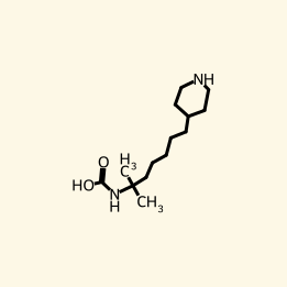 CC(C)(CCCCCC1CCNCC1)NC(=O)O